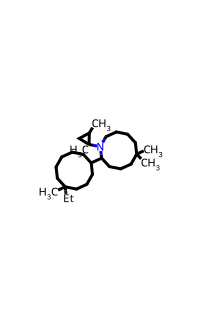 CCC1(C)CCCCCC(C2CCCC(C)(C)CCCCN2C2(C)CC2C)CCC1